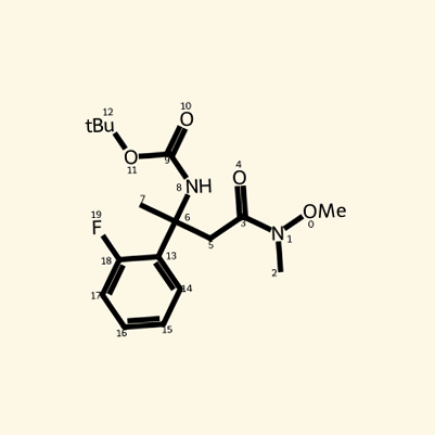 CON(C)C(=O)CC(C)(NC(=O)OC(C)(C)C)c1ccccc1F